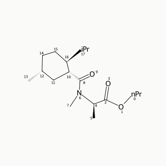 CCCOC(=O)[C@@H](C)N(C)C(=O)[C@@H]1C[C@H](C)CC[C@H]1C(C)C